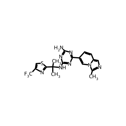 Cc1ncc2ccc(-c3nc(N)nc(NC(C)(C)c4nc(C(F)(F)F)cs4)n3)cn12